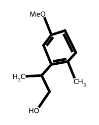 COc1ccc(C)c([C](C)CO)c1